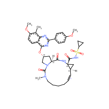 COc1ccc(-c2nc(O[C@@H]3C[C@H]4C(=O)N[C@]5(C(=O)NS(=O)(=O)C6CC6)C[C@H]5/C=C\CCCCN(C)C(=O)N4C3)c3ccc(OC)c(C)c3n2)cc1